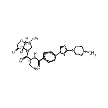 CCC[C@H]1CN(C(=O)[C@H](CC(C)C)NC(=O)c2ccc(-c3csc(N4CCN(C)CC4)n3)cc2)[C@@H]2C(=O)CO[C@H]12